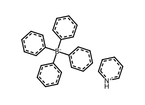 c1cc[nH+]cc1.c1ccc([B-](c2ccccc2)(c2ccccc2)c2ccccc2)cc1